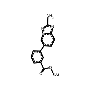 CC(C)(C)OC(=O)c1cccc(-c2ccc3nc(N)nn3c2)c1